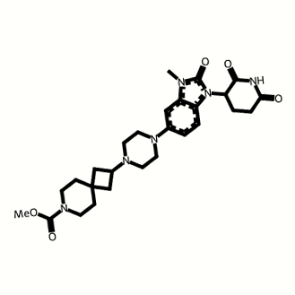 COC(=O)N1CCC2(CC1)CC(N1CCN(c3ccc4c(c3)n(C)c(=O)n4C3CCC(=O)NC3=O)CC1)C2